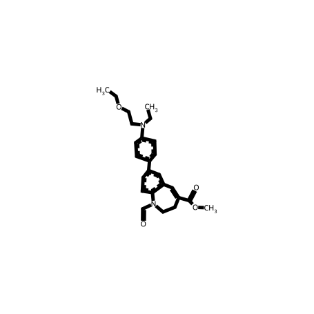 CCOCCN(CC)c1ccc(-c2ccc3c(c2)C=C(C(=O)OC)CCN3C=O)cc1